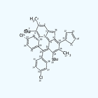 Cc1cc2c(cc1C(C)(C)C)=c1c(c(C3=CC=CC3)c(C)c(C(C)(C)C)c1=C(c1ccc(Cl)cc1)c1ccc(Cl)cc1)[C]=2